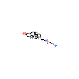 CN(C)CCCO/N=C/C=C/[C@H]1CC[C@H]2[C@@H]3CC=C4C[C@@H](O)CC[C@]4(C)[C@H]3CC[C@]12C